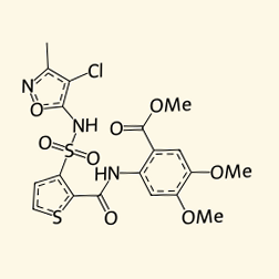 COC(=O)c1cc(OC)c(OC)cc1NC(=O)c1sccc1S(=O)(=O)Nc1onc(C)c1Cl